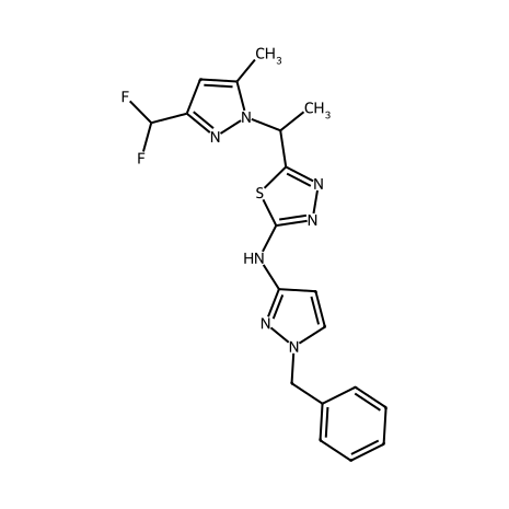 Cc1cc(C(F)F)nn1C(C)c1nnc(Nc2ccn(Cc3ccccc3)n2)s1